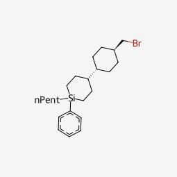 CCCCC[Si]1(c2ccccc2)CCC([C@H]2CC[C@H](CBr)CC2)CC1